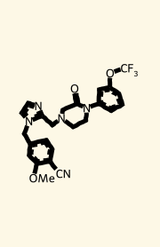 COc1cc(Cn2ccnc2CN2CCN(c3cccc(OC(F)(F)F)c3)C(=O)C2)ccc1C#N